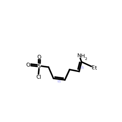 CC/C(N)=C/C/C=C\CS(=O)(=O)Cl